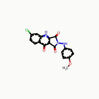 COc1ccc(NN2C(=O)c3[nH]c4cc(Cl)ccc4c(=O)c3C2=O)cc1